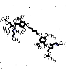 C/C=C/C1=CN(C(=O)c2cc(OC)c(OCCCCCOc3cc([N+](=O)[O-])c(C(=O)N(/C=C(C)/C=C/C)C(C)COC(C)=O)cc3OC)cc2[N+](=O)[O-])C(COC(C)=O)C1